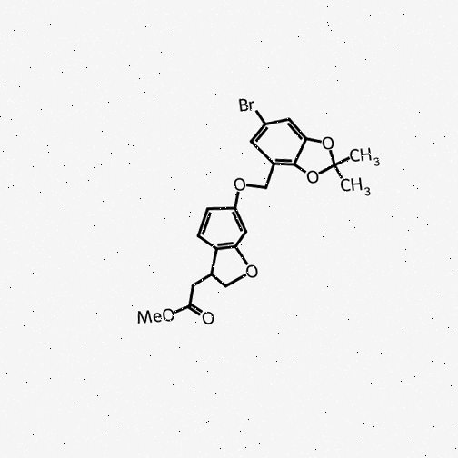 COC(=O)CC1COc2cc(OCc3cc(Br)cc4c3OC(C)(C)O4)ccc21